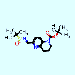 CC(C)(C)OC(=O)N1CCCc2nc(/C=N/[S+]([O-])C(C)(C)C)ccc21